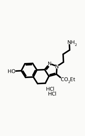 CCOC(=O)c1c2c(nn1CCCN)-c1ccc(O)cc1CC2.Cl.Cl